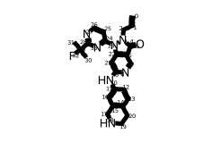 C=CCn1c(=O)c2cnc(Nc3ccc4c(c3)CNCC4)cc2n1-c1ccnc(C(C)(C)F)n1